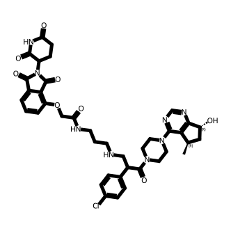 C[C@@H]1C[C@@H](O)c2ncnc(N3CCN(C(=O)C(CNCCCNC(=O)COc4cccc5c4C(=O)N(C4CCC(=O)NC4=O)C5=O)c4ccc(Cl)cc4)CC3)c21